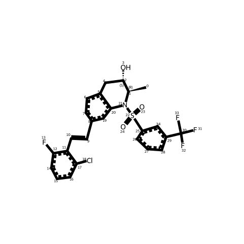 C[C@@H]1[C@@H](O)Cc2ccc(C=Cc3c(F)cccc3Cl)cc2N1S(=O)(=O)c1cccc(C(F)(F)F)c1